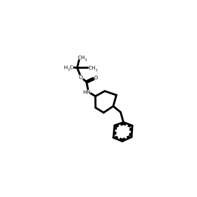 CC(C)(C)OC(=O)NC1CCC(Cc2ccccc2)CC1